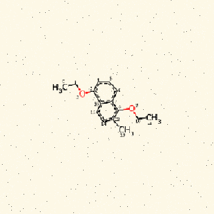 CCOc1cccc2c(OCC)c(C)ccc12